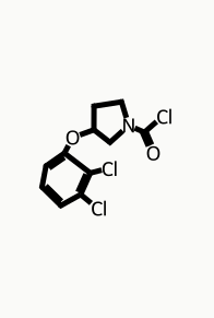 O=C(Cl)N1CCC(Oc2cccc(Cl)c2Cl)C1